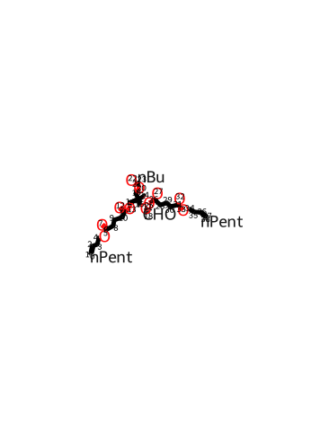 CCCCC/C=C\CCOC(=O)CCCC(=O)OCC(COC=O)(COC(=O)CCCC)COC(=O)CCCC(=O)OCC/C=C\CCCCC